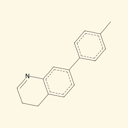 Cc1ccc(-c2ccc3c(c2)N=CCC3)cc1